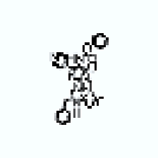 Cn1c(NC[C@H](Cc2ccccc2)NC(=O)OC(C)(C)C)nc(-c2ccncc2)c(NC(=O)Oc2ccccc2)c1=O